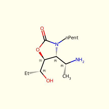 CCCCCN1C(=O)O[C@H]([C@H](O)CC)[C@H]1[C@@H](C)N